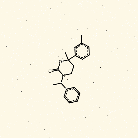 Cc1cccc(C2(C)CCN(C(C)c3ccccc3)C(=O)O2)c1